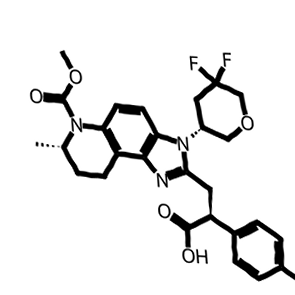 COC(=O)N1c2ccc3c(nc(C[C@H](C(=O)O)c4ccc(C)cc4)n3[C@H]3COCC(F)(F)C3)c2CC[C@@H]1C